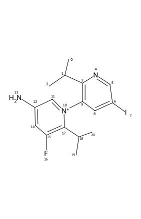 CC(C)c1ncc(I)cc1-[n+]1cc(N)cc(F)c1C(C)C